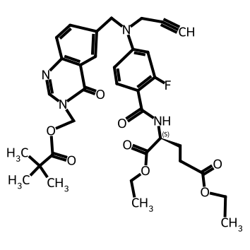 C#CCN(Cc1ccc2ncn(COC(=O)C(C)(C)C)c(=O)c2c1)c1ccc(C(=O)N[C@@H](CCC(=O)OCC)C(=O)OCC)c(F)c1